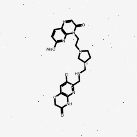 COc1ccc2ncc(=O)n(CCN3CC[C@@H](CNCc4nc5c(cc4Cl)OCC(=O)N5)C3)c2n1